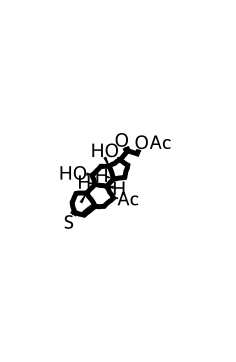 CC(=O)OCC(=O)[C@@]1(O)CC[C@H]2[C@H]3[C@H]([C@@H](O)C[C@@]21C)[C@@]1(C)CCC(=S)C=C1C[C@H]3C(C)=O